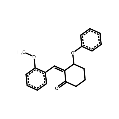 COc1ccccc1C=C1C(=O)CCCC1Oc1ccccc1